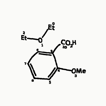 CCOCC.COc1ccccc1C(=O)O